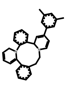 Cc1cc(C)cc(C2=CC3c4ccccc4N4CC=CC=C4c4ccccc4CCN3C=C2)c1